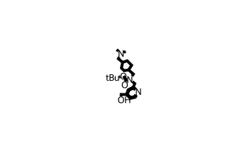 CN(C)CC1CCC(CN(Cc2cc(CO)ccn2)C(=O)OC(C)(C)C)CC1